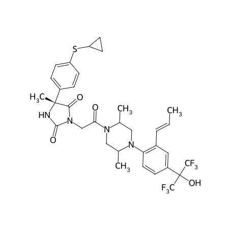 CC=Cc1cc(C(O)(C(F)(F)F)C(F)(F)F)ccc1N1CC(C)N(C(=O)CN2C(=O)N[C@](C)(c3ccc(SC4CC4)cc3)C2=O)CC1C